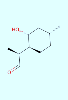 C[C@@H]1CC[C@@H]([C@H](C)C=O)[C@H](O)C1